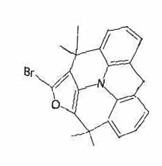 CC1(C)c2cccc3c2N2c4c(cccc4C(C)(C)c4c(Br)oc1c42)C3